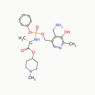 Cc1ncc(COP(=O)(N[C@@H](C)C(=O)OC2CCN(C)CC2)Oc2ccccc2)c(CN)c1O